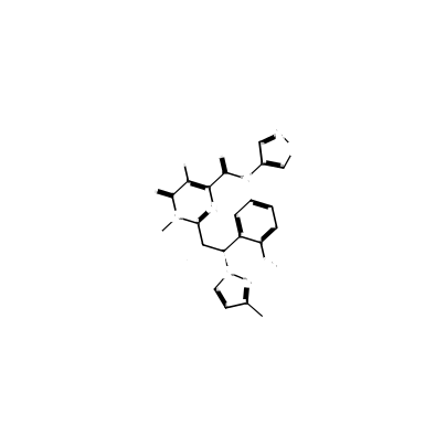 Cc1ccn([C@H](c2ccccc2C#N)[C@H](C)c2nc(C(=O)Nc3cnoc3)c(O)c(=O)n2C)n1